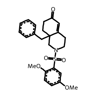 COc1ccc(OC)c(S(=O)(=O)N2CCC3=CC(=O)CCC3(Cc3ccccc3)C2)c1